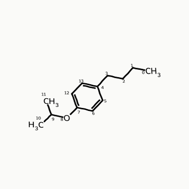 CCCCc1ccc(OC(C)C)cc1